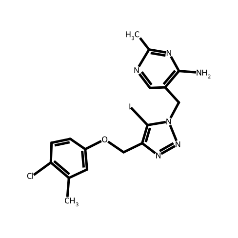 Cc1ncc(Cn2nnc(COc3ccc(Cl)c(C)c3)c2I)c(N)n1